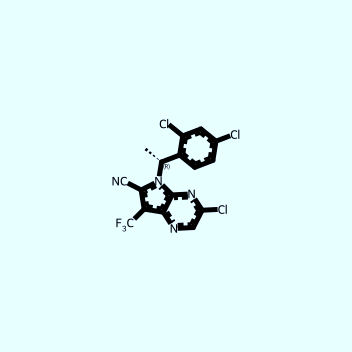 C[C@H](c1ccc(Cl)cc1Cl)n1c(C#N)c(C(F)(F)F)c2ncc(Cl)nc21